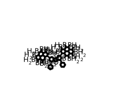 Bc1c(B)c2c(B)c(B)c3c(B)c(B)c(-c4cc(-c5ccccc5)c5oc6c(-c7ccccc7)cc(-c7c(B)c(B)c8c(B)c(B)c9c(B)c(B)c(B)c%10c(B)c(B)c7c8c9%10)cc6c5c4)c4c(B)c(B)c(c1B)c2c34